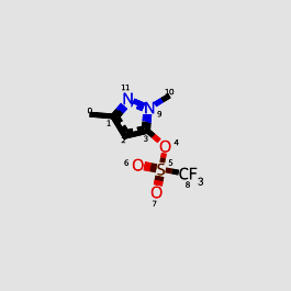 Cc1cc(OS(=O)(=O)C(F)(F)F)n(C)n1